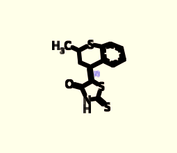 CC1C/C(=C2/SC(=S)NC2=O)c2ccccc2S1